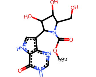 CCCCOC(=O)N1C(CO)C(O)C(O)C1c1c[nH]c2c(=O)[nH]cnc12